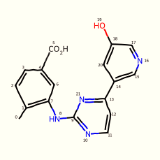 Cc1ccc(C(=O)O)cc1Nc1nccc(-c2cncc(O)c2)n1